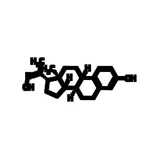 C/C(=N/O)[C@H]1CC[C@H]2[C@@H]3CCc4cc(O)ccc4[C@H]3CC[C@]12C